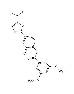 COc1cc(OC)cc(C(=O)Cn2ccc(-c3nnc(C(F)F)o3)cc2=O)c1